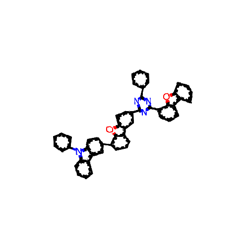 c1ccc(-c2nc(-c3ccc4oc5c(-c6ccc7c(c6)c6ccccc6n7-c6ccccc6)cccc5c4c3)nc(-c3cccc4c3oc3ccccc34)n2)cc1